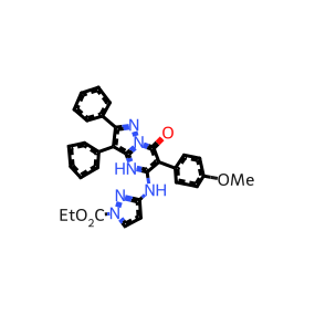 CCOC(=O)n1ccc(Nc2[nH]c3c(-c4ccccc4)c(-c4ccccc4)nn3c(=O)c2-c2ccc(OC)cc2)n1